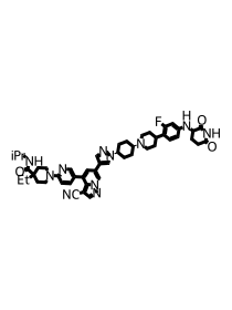 CCC1(C(=O)NC(C)C)CCN(c2ccc(-c3cc(-c4cnn([C@H]5CC[C@@H](N6CCC(c7ccc(NC8CCC(=O)NC8=O)cc7F)CC6)CC5)c4)cn4ncc(C#N)c34)cn2)CC1